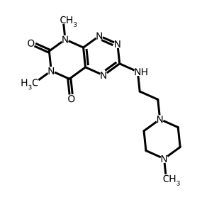 CN1CCN(CCNc2nnc3c(n2)c(=O)n(C)c(=O)n3C)CC1